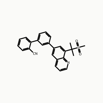 CC(C)(c1cc(-c2cccc(-c3ccccc3C#N)c2)cc2cccnc12)S(C)(=O)=O